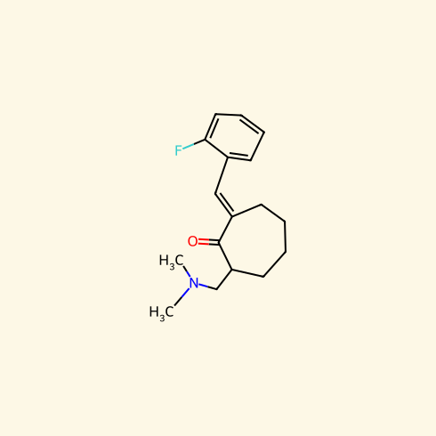 CN(C)CC1CCCCC(=Cc2ccccc2F)C1=O